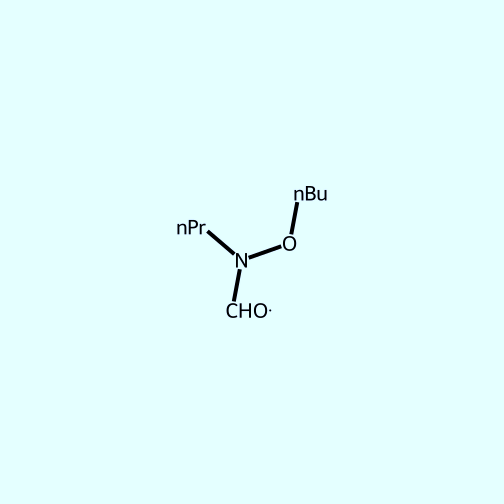 CCCCON([C]=O)CCC